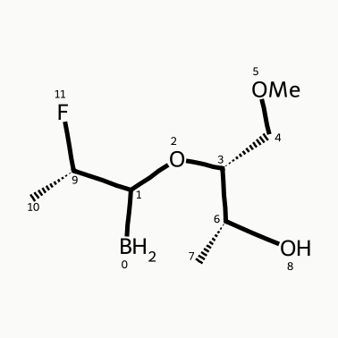 BC(O[C@H](COC)[C@@H](C)O)[C@H](C)F